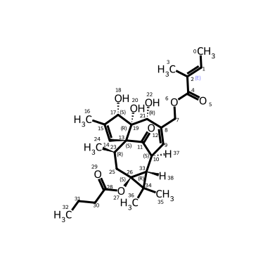 C/C=C(\C)C(=O)OCC1=C[C@@H]2C(=O)[C@]3(C=C(C)[C@H](O)[C@@]3(O)[C@@H]1O)[C@H](C)C[C@]1(OC(=O)CCC)[C@H]2C1(C)C